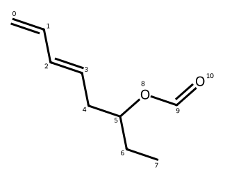 C=CC=CCC(CC)OC=O